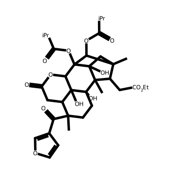 CCOC(=O)CC1C2(C)CC3(O)C(OC(=O)C(C)C)(C2OC(=O)C(C)C)C2OC(=O)CC4C(C)(C(=O)c5ccoc5)CCC(O)(C42O)C13C